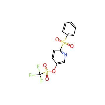 O=S(=O)(c1ccccc1)c1ccc(OS(=O)(=O)C(F)(F)F)cn1